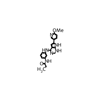 C=CC(=O)Nc1cccc(NC2=NCNc3[nH]c(-c4ccc(OC)nc4)cc32)c1